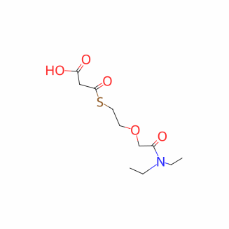 CCN(CC)C(=O)COCCSC(=O)CC(=O)O